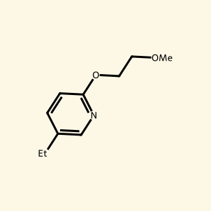 CCc1ccc(OCCOC)nc1